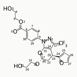 O=C(OCCO)c1ccc(-n2nc(C(F)(F)F)c3c2O[C@@H](OCCO)C[C@@H]3c2ccco2)cc1